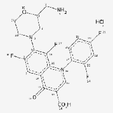 Cl.NCC1CN(c2c(F)cc3c(=O)c(C(=O)O)cn(-c4ccc(F)cc4F)c3c2F)CCO1